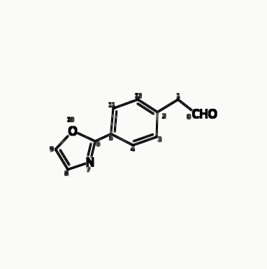 O=CCc1ccc(-c2ncco2)cc1